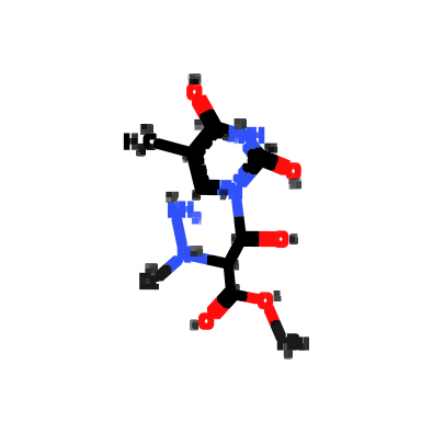 CCCCOC(=O)C(C(=O)n1cc(C)c(=O)[nH]c1=O)N(N)CC